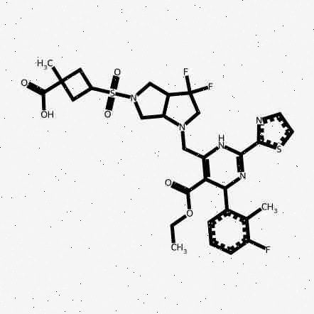 CCOC(=O)C1=C(CN2CC(F)(F)C3CN(S(=O)(=O)C4CC(C)(C(=O)O)C4)CC32)NC(c2nccs2)=NC1c1cccc(F)c1C